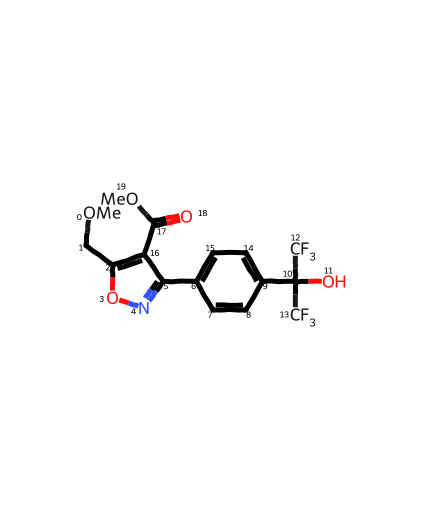 COCc1onc(-c2ccc(C(O)(C(F)(F)F)C(F)(F)F)cc2)c1C(=O)OC